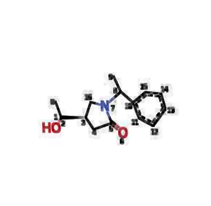 CC(O)[C@@H]1CC(=O)N(C(C)c2ccccc2)C1